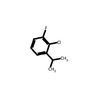 CC(C)c1cccc(F)c1Cl